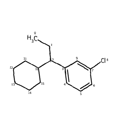 CC[C](c1cccc(Cl)c1)C1CCCCC1